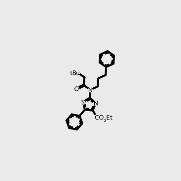 CCOC(=O)c1nc(N(CCCc2ccccc2)C(=O)CC(C)(C)C)sc1-c1ccccc1